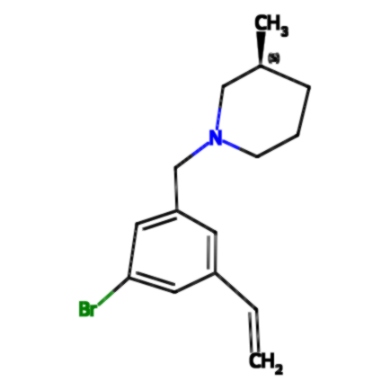 C=Cc1cc(Br)cc(CN2CCC[C@H](C)C2)c1